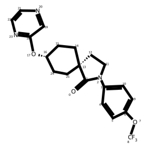 O=C1N(c2ccc(OC(F)(F)F)cc2)CC[C@]12CC[C@@H](Oc1cnccn1)CC2